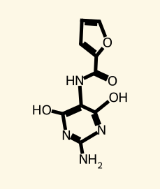 Nc1nc(O)c(NC(=O)c2ccco2)c(O)n1